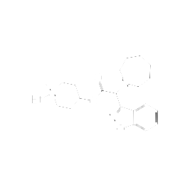 CC[N+]1(C)CCC(OC(=O)C(c2noc3ccccc23)N2CCCCCC2)CC1